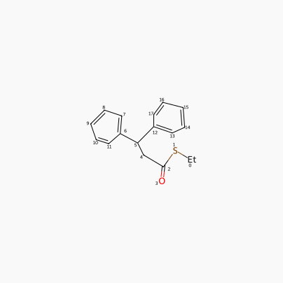 CCSC(=O)CC(c1ccccc1)c1ccccc1